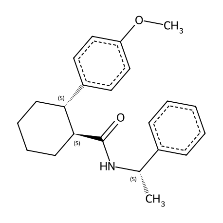 COc1ccc([C@H]2CCCC[C@@H]2C(=O)N[C@@H](C)c2ccccc2)cc1